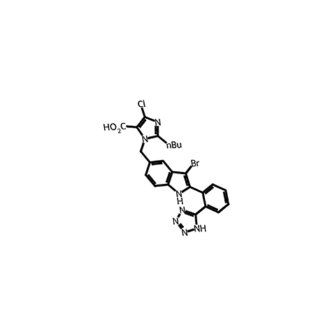 CCCCc1nc(Cl)c(C(=O)O)n1Cc1ccc2[nH]c(-c3ccccc3-c3nnn[nH]3)c(Br)c2c1